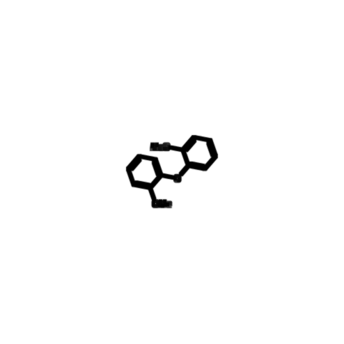 COc1ccccc1Oc1ccccc1OC